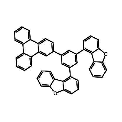 c1ccc2c(c1)oc1cccc(-c3cc(-c4ccc5c6ccccc6c6ccccc6c5c4)cc(-c4cccc5oc6ccccc6c45)c3)c12